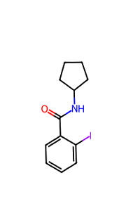 O=C(NC1CCCC1)c1ccccc1I